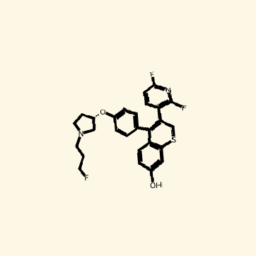 Oc1ccc2c(c1)SCC(c1ccc(F)nc1F)=C2c1ccc(O[C@H]2CCN(CCCF)C2)cc1